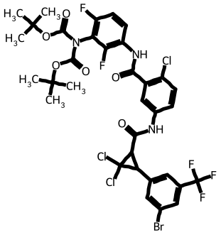 CC(C)(C)OC(=O)N(C(=O)OC(C)(C)C)c1c(F)ccc(NC(=O)c2cc(NC(=O)C3C(c4cc(Br)cc(C(F)(F)F)c4)C3(Cl)Cl)ccc2Cl)c1F